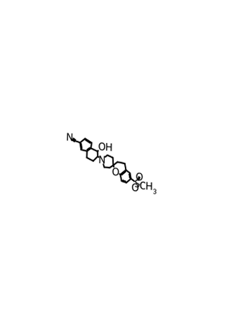 CS(=O)(=O)c1ccc2c(c1)CCC1(CCN(C3CCc4cc(C#N)ccc4C3O)CC1)O2